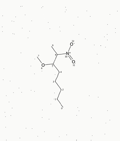 CCCCCC(OC)C(C)[N+](=O)[O-]